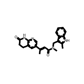 C/C(=C\C(=O)N(C)Cc1c(C)[nH]c2ccccc12)c1cnc2c(c1)CCC(=O)N2